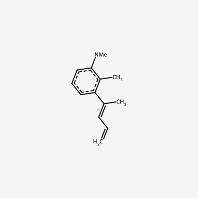 C=C/C=C(\C)c1cccc(NC)c1C